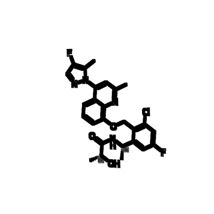 Cc1cc(-n2ncc(F)c2C)c2cccc(OCc3c(Cl)cc(F)cc3[C@H](C)NC(=O)[C@@H](C)O)c2n1